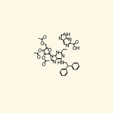 CCc1nc(NCC(c2ccccc2)c2ccccc2)c2ncn([C@@H]3O[C@H](COC(C)=O)[C@@H](OC(C)=O)[C@H]3OC(C)=O)c2n1.O=C(O)c1ncc2nc[nH]c2n1